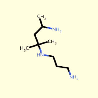 CC(N)CC(C)(C)NCCCN